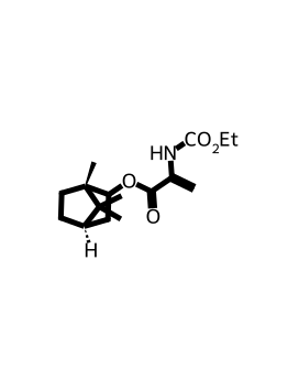 C=C(NC(=O)OCC)C(=O)OC1C[C@H]2CC[C@@]1(C)C2(C)C